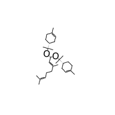 CC(C)=CCC/C(C)=C/C(OC(C)(C)[C@H]1CC=C(C)CC1)OC(C)(C)[C@H]1CC=C(C)CC1